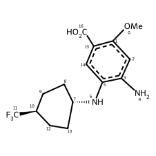 COc1cc(N)c(N[C@H]2CC[C@H](C(F)(F)F)CC2)cc1C(=O)O